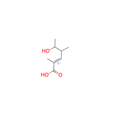 C/C(=C\C(C)C(C)O)C(=O)O